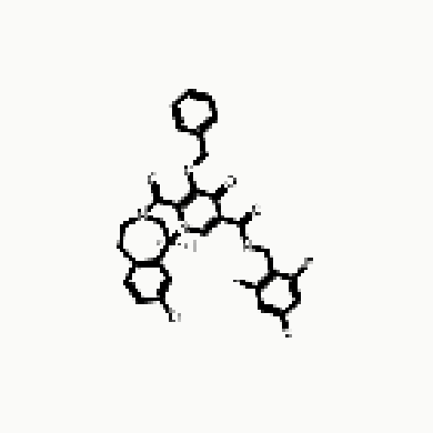 O=C(NCc1c(F)cc(F)cc1F)c1cn2c(c(OCc3ccccc3)c1=O)C(=O)N1CCc3ccc(Br)cc3[C@H]2C1